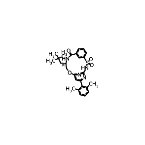 Cc1cccc(C)c1-c1cc2nc(n1)NS(=O)(=O)c1cccc(c1)C(=O)N[C@H](CC(C)(C)C)CO2